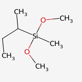 CCC(C)[Si](C)(OC)OC